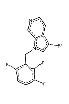 Fc1ccc(F)c(Cn2cc(Br)c3ccncc32)c1F